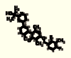 Cc1c(F)ccc(COc2nc(C)n(-c3cc(-c4ccnc(C(C)(C)O)n4)ccc3Cl)c(=O)c2C)c1F